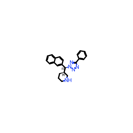 c1ccc(-c2nnn([C@H](c3ccc4ccccc4c3)[C@@H]3CCCNC3)n2)cc1